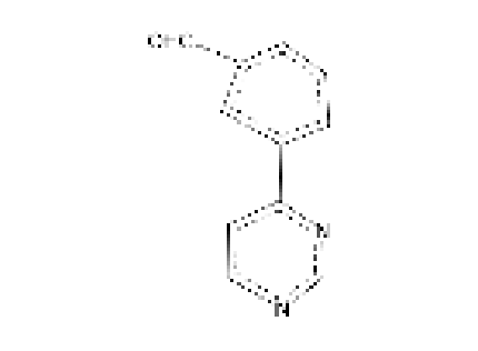 O=Cc1cccc(-c2ccncn2)c1